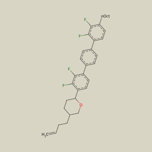 C=CCCC1CCC(c2ccc(-c3ccc(-c4ccc(CCCCCCCC)c(F)c4F)cc3)c(F)c2F)OC1